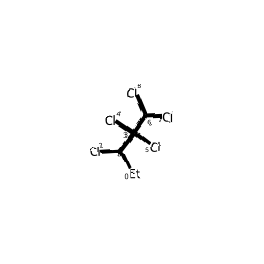 [CH2]CC(Cl)C(Cl)(Cl)[C](Cl)Cl